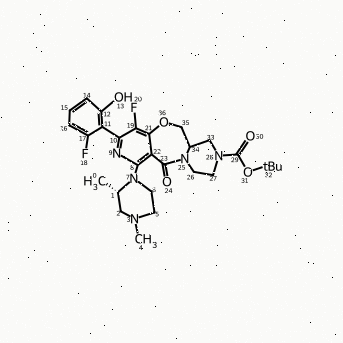 C[C@H]1CN(C)CCN1c1nc(-c2c(O)cccc2F)c(F)c2c1C(=O)N1CCN(C(=O)OC(C)(C)C)CC1CO2